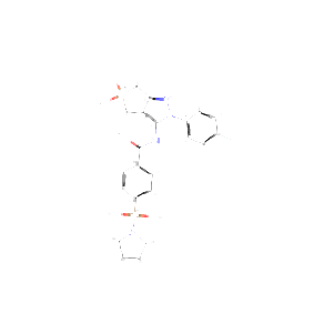 O=C(Nc1c2c(nn1-c1ccc(Cl)cc1)CS(=O)(=O)C2)c1ccc(S(=O)(=O)N2CCCC2)cc1